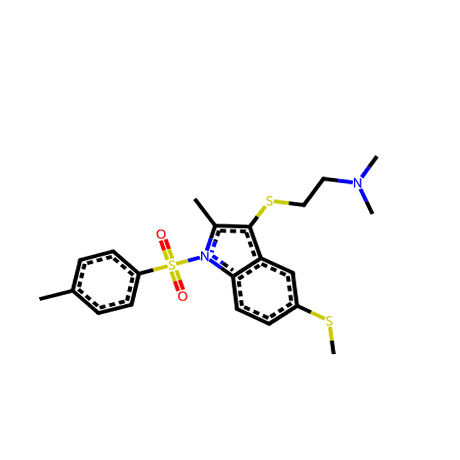 CSc1ccc2c(c1)c(SCCN(C)C)c(C)n2S(=O)(=O)c1ccc(C)cc1